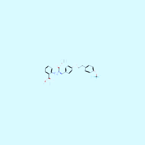 COC(=O)c1ccccc1NC(Cc1ccc(OCCc2ccc(OC(F)(F)F)cc2)cc1)C(=O)OC